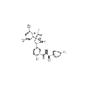 COc1ccc(C(=O)NNc2cc(C3CC(C4C=C(Cl)C=C(Cl)C4)(C(F)(F)F)ON3)ccc2Cl)cc1